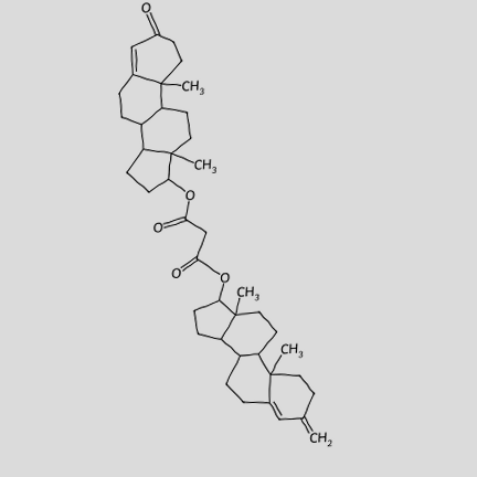 C=C1C=C2CCC3C(CCC4(C)C(OC(=O)CC(=O)OC5CCC6C7CCC8=CC(=O)CCC8(C)C7CCC56C)CCC34)C2(C)CC1